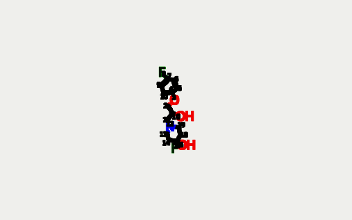 OC(COc1ccc(F)cc1)CN1CCC(O)(F)CC1